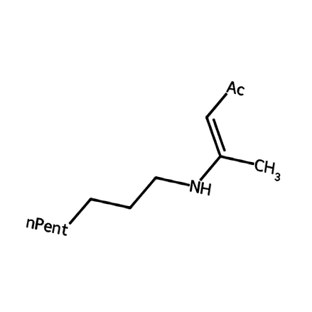 CCCCCCCCNC(C)=CC(C)=O